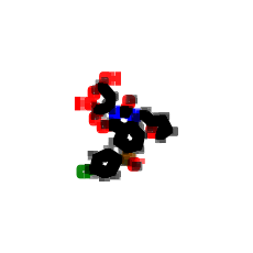 O=C(O)CC(C(=O)O)n1c(=O)c2cc([S+]([O-])c3ccc(Cl)cc3)ccc2n(Cc2ccco2)c1=O